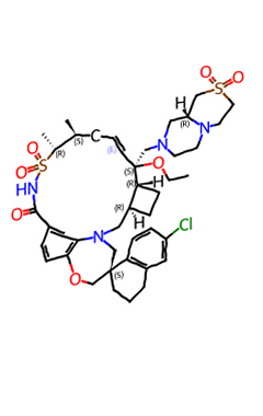 CCO[C@]1(CN2CCN3CCS(=O)(=O)C[C@H]3C2)/C=C/C[C@H](C)[C@@H](C)S(=O)(=O)NC(=O)c2ccc3c(c2)N(C[C@@H]2CC[C@H]21)C[C@@]1(CCCc2cc(Cl)ccc21)CO3